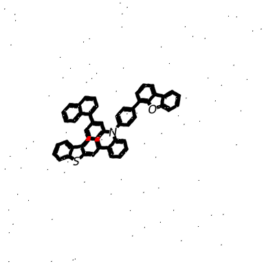 c1cc(-c2cccc3ccccc23)cc(N(c2ccc(-c3cccc4c3oc3ccccc34)cc2)c2ccccc2-c2ccc3c(c2)sc2ccccc23)c1